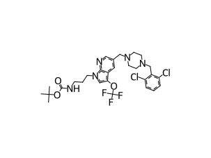 CC(C)(C)OC(=O)NCCCn1cc(OC(F)(F)F)c2cc(CN3CCN(Cc4c(Cl)cccc4Cl)CC3)cnc21